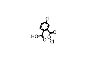 O=C(O)c1ccc(Cl)cc1C(=O)OCl